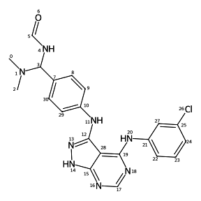 CN(C)C(NC=O)c1ccc(Nc2n[nH]c3ncnc(Nc4cccc(Cl)c4)c23)cc1